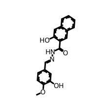 COc1ccc(C=NNC(=O)c2cc3ccccc3cc2O)cc1O